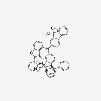 CC1(C)c2ccccc2-c2ccc(N(c3ccc4c(c3)C(C)(C)c3ccccc3-4)c3cccc4oc5c6ccccc6c(-c6cccc(-c7ccccc7)c6)cc5c34)cc21